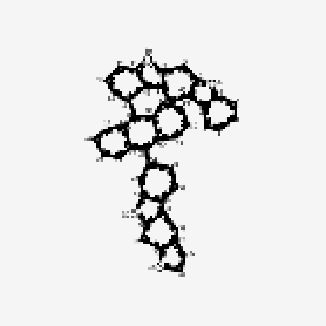 c1ccc2c(c1)oc1cc3oc4cccc(-c5c6ccccc6c(-c6ccc7c(c6)sc6cc8sccc8cc67)c6ccccc56)c4c3cc12